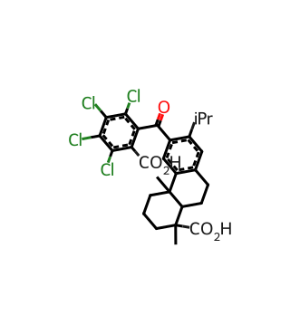 CC(C)c1cc2c(cc1C(=O)c1c(Cl)c(Cl)c(Cl)c(Cl)c1C(=O)O)C1(C)CCCC(C)(C(=O)O)C1CC2